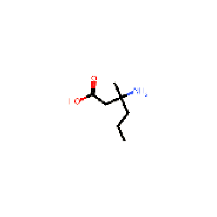 CCCC(C)(N)CC(=O)O